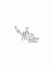 COc1cc(Cl)c(-c2nc(OCCN3CCC(F)CC3)nc3[nH]cc(C#N)c23)cc1OC